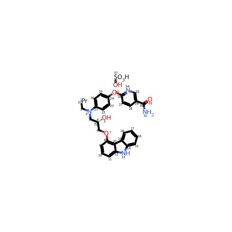 CC(C)CN(C[C@H](O)COc1cccc2[nH]c3ccccc3c12)c1ccc(Oc2ccc(C(N)=O)cn2)cc1.O=S(=O)(O)O